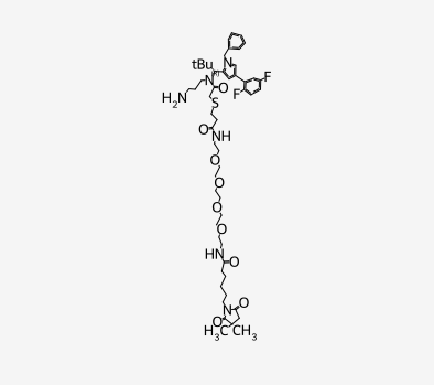 CC1(C)CC(=O)N(CCCCCC(=O)NCCOCCOCCOCCOCCNC(=O)CCSCC(=O)N(CCCN)[C@@H](c2cc(-c3cc(F)ccc3F)cn2Cc2ccccc2)C(C)(C)C)C1=O